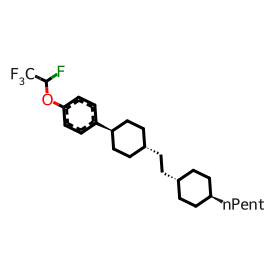 CCCCC[C@H]1CC[C@H](CC[C@H]2CC[C@H](c3ccc(OC(F)C(F)(F)F)cc3)CC2)CC1